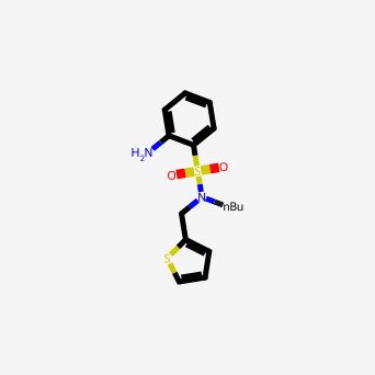 CCCCN(Cc1cccs1)S(=O)(=O)c1ccccc1N